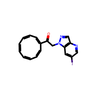 O=C(Cn1ncc2ncc(I)cc21)c1ccccccccc1